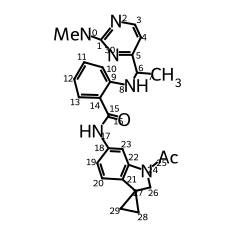 CNc1nccc(C(C)Nc2ccccc2C(=O)Nc2ccc3c(c2)N(C(C)=O)CC32CC2)n1